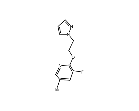 Fc1cc(Br)cnc1OCCn1cccn1